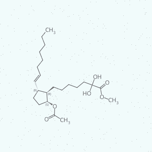 CCCCCCC=C[C@H]1CC[C@H](OC(C)=O)[C@@H]1CCCCCC(O)(O)C(=O)OC